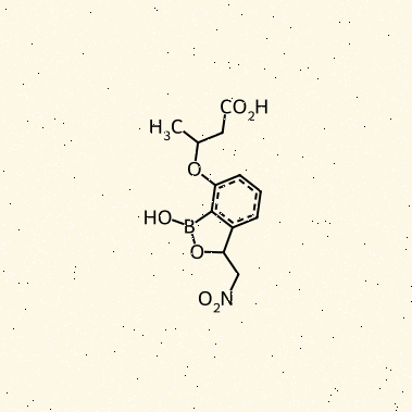 CC(CC(=O)O)Oc1cccc2c1B(O)OC2C[N+](=O)[O-]